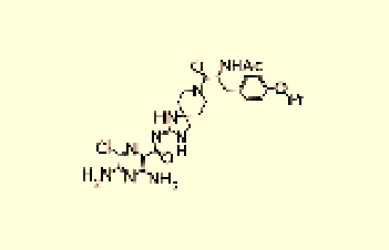 CC(=O)N[C@@H](Cc1ccc(OC(C)C)cc1)C(=O)N1CCC2(CC1)CN/C(=N\C(=O)c1nc(Cl)c(N)nc1N)N2